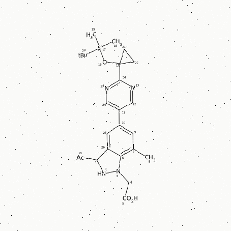 CC(=O)C1NN(CC(=O)O)c2c(C)cc(-c3cnc(C4(O[Si](C)(C)C(C)(C)C)CC4)nc3)cc21